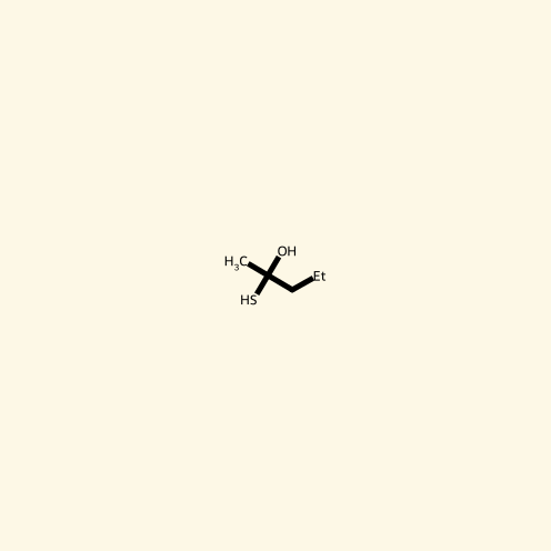 [CH2]CCC(C)(O)S